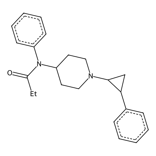 CCC(=O)N(c1ccccc1)C1CCN(C2CC2c2ccccc2)CC1